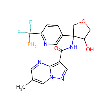 Cc1cnc2c(C(=O)NC3(c4ccc(C(F)(F)P)nc4)COCC3O)cnn2c1